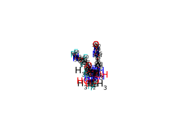 CC(C)([C@H](NC(=O)O)C(=O)NNC[C@H](O)[C@H](Cc1ccc(C#Cc2ccc(N3CC4(COC4)C3)nc2)cc1)NC(=O)[C@@H](NC(=O)OCCc1c(F)cc(-c2cnn(C(F)F)c2)cc1F)C(C)(C)C(F)(F)F)C(F)(F)F